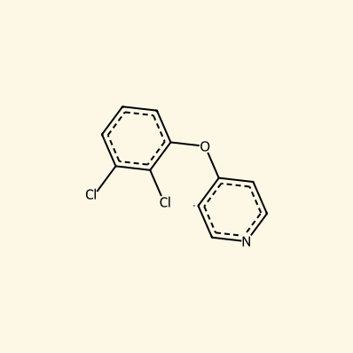 Clc1cccc(Oc2[c]cncc2)c1Cl